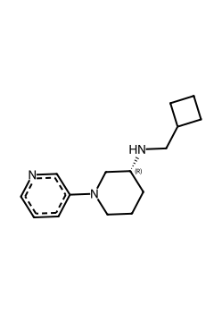 c1cncc(N2CCC[C@@H](NCC3CCC3)C2)c1